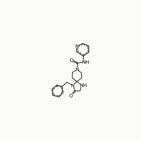 O=C(Nc1cccnc1)N1CCC2(CC1)NCC(=O)N2Cc1ccccc1